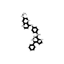 COc1cnc2c(Oc3ccc(Nc4nnc(-c5ccccc5)c5ccsc45)cc3)ccnc2c1